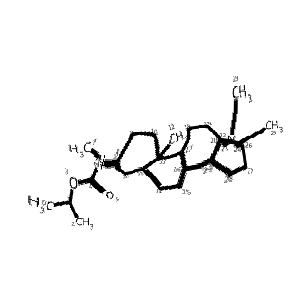 CC(C)OC(=O)N(C)C1CCC2(C)C(=CCC3C2CCC24CN(C)C(C)C2CCC34)C1